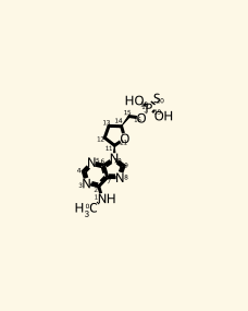 CNc1ncnc2c1ncn2[C@H]1CC[C@@H](COP(O)(O)=S)O1